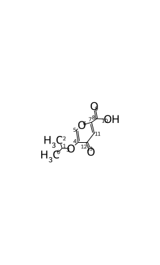 CC(C)Oc1coc(C(=O)O)cc1=O